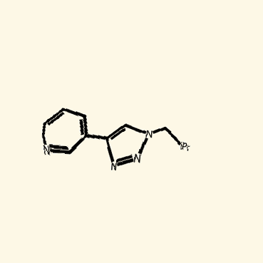 CC(C)Cn1cc(-c2cccnc2)nn1